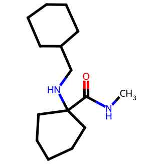 CNC(=O)C1(NCC2CCCCC2)CCCCC1